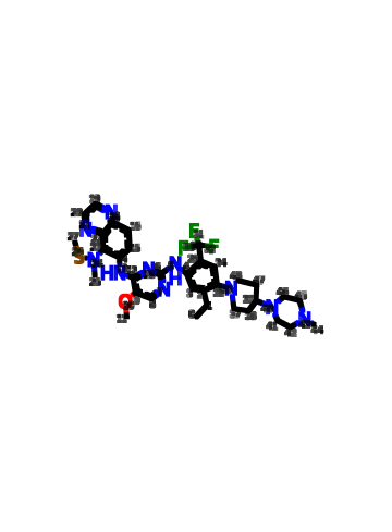 CCc1cc(Nc2ncc(OC)c(Nc3ccc4nccnc4c3N(C)SC)n2)c(C(F)(F)F)cc1N1CCC(N2CCN(C)CC2)CC1